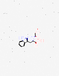 COCC(=O)NC(Cc1c[nH]c2ccccc12)C(=O)O